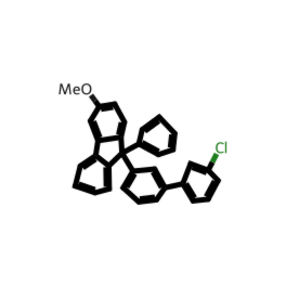 COc1ccc2c(c1)-c1ccccc1C2(c1ccccc1)c1cccc(-c2cccc(Cl)c2)c1